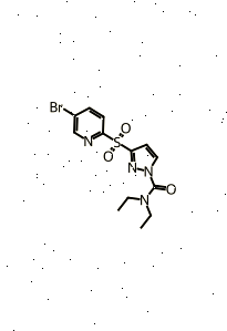 CCN(CC)C(=O)n1ccc(S(=O)(=O)c2ccc(Br)cn2)n1